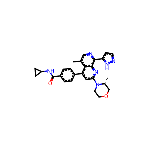 Cc1cnc(-c2ccn[nH]2)c2nc(N3CCOC[C@H]3C)cc(-c3ccc(C(=O)NC4CC4)cc3)c12